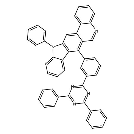 c1ccc(-c2nc(-c3ccccc3)nc(-c3cccc(-c4c5cnc6ccccc6c5cc5c4c4ccccc4n5-c4ccccc4)c3)n2)cc1